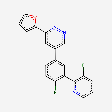 Fc1ccc(-c2cnnc(-c3ccco3)c2)cc1-c1ncccc1F